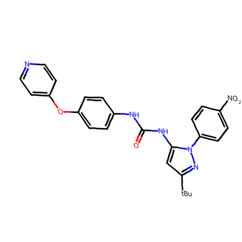 CC(C)(C)c1cc(NC(=O)Nc2ccc(Oc3ccncc3)cc2)n(-c2ccc([N+](=O)[O-])cc2)n1